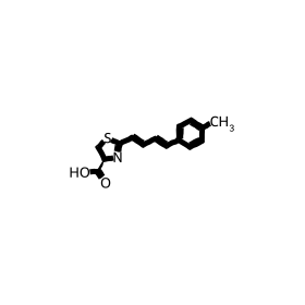 Cc1ccc(/C=C/C=C/C2=N[C@@H](C(=O)O)CS2)cc1